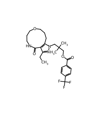 CCc1nn(CC(C)(C)COC(=O)c2ccc(C(F)(F)F)cc2)c2c1C(=O)NCCCOCCC2